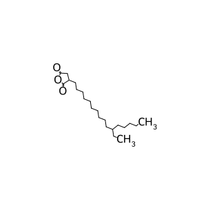 CCCCCC(CC)CCCCCCCCCCC1CC(=O)OC1=O